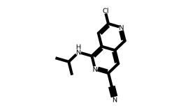 CC(C)Nc1nc(C#N)cc2cnc(Cl)cc12